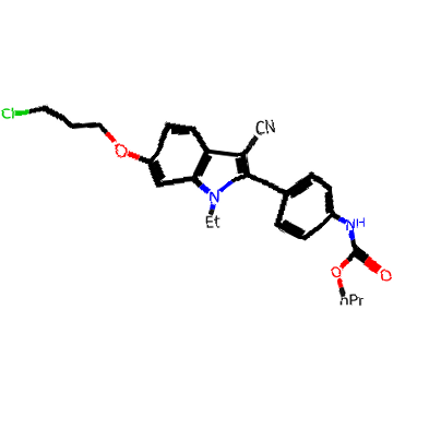 CCCOC(=O)Nc1ccc(-c2c(C#N)c3ccc(OCCCCl)cc3n2CC)cc1